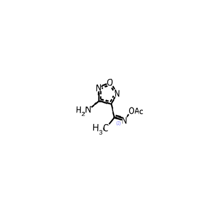 CC(=O)O/N=C(/C)c1nonc1N